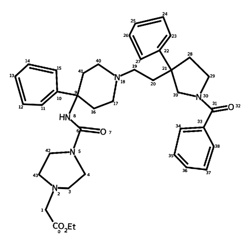 CCOC(=O)CN1CCN(C(=O)NC2(c3ccccc3)CCN(CCC3(c4ccccc4)CCN(C(=O)c4ccccc4)C3)CC2)CC1